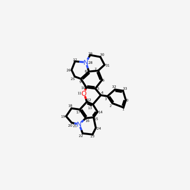 c1ccc(C2c3cc4c5c(c3Oc3c2cc2c6c3CCCN6CCC2)CCCN5CCC4)cc1